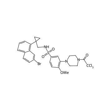 COc1ccc(S(=O)(=O)NCC2(c3cccc4ccc(Br)cc34)CC2)cc1N1CCN(C(=O)C(Cl)(Cl)Cl)CC1